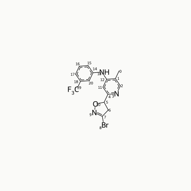 Cc1cnc(C2CC(Br)=NO2)cc1Nc1cccc(C(F)(F)F)c1